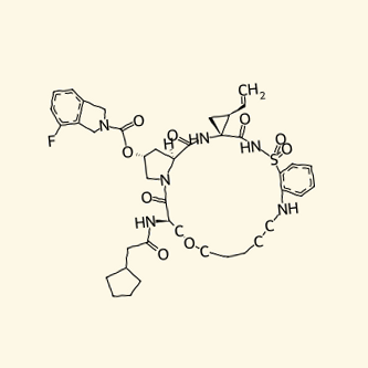 C=C[C@@H]1C[C@@]12NC(=O)[C@@H]1C[C@@H](OC(=O)N3Cc4cccc(F)c4C3)CN1C(=O)[C@H](NC(=O)CC1CCCC1)COCCCCCNc1ccccc1S(=O)(=O)NC2=O